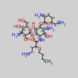 CCCCO[C@@H](CCN)C(=O)NC1[C@H](O[C@H]2OC(CO)[C@@H](O)[C@H](N)C2O)C(O)C(O[C@H]2O[C@H](CN)CCC2N)[C@@H](N)[C@H]1O